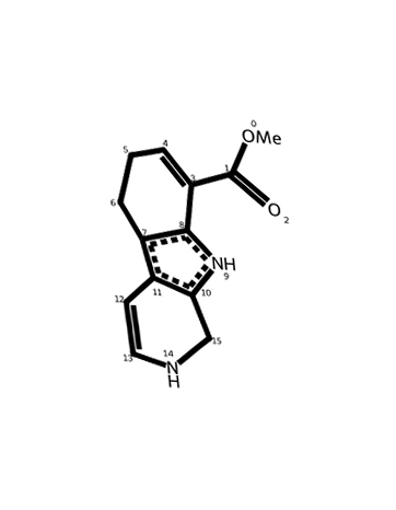 COC(=O)C1=CCCc2c1[nH]c1c2C=CNC1